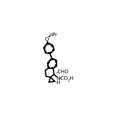 CCCOc1ccc(-c2ccc3c(c2)CCC2(CC2)[C@]3(C=O)NC(=O)O)cc1